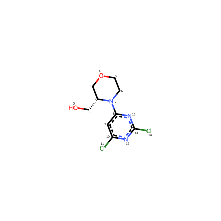 OC[C@@H]1COCCN1c1cc(Cl)nc(Cl)n1